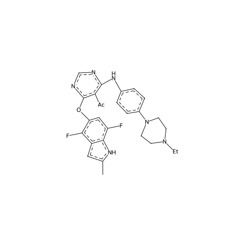 CCN1CCN(c2ccc(Nc3ncnc(Oc4cc(F)c5[nH]c(C)cc5c4F)c3C(C)=O)cc2)CC1